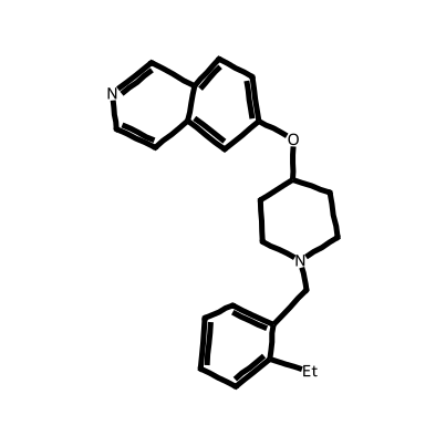 CCc1ccccc1CN1CCC(Oc2ccc3cnccc3c2)CC1